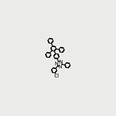 Clc1cccc(-c2nc(-c3ccccc3)nc(-c3ccc(-c4c(-c5ccccc5)cc(-c5ccccc5)cc4-c4ccccc4)cc3)n2)c1